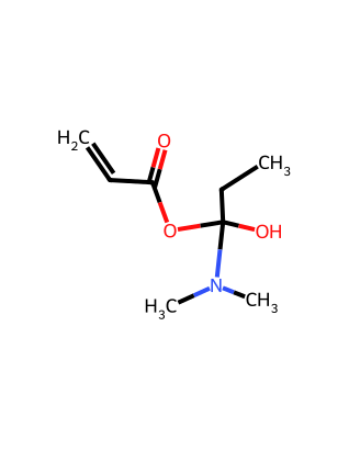 C=CC(=O)OC(O)(CC)N(C)C